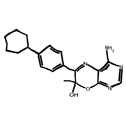 CC1(O)Oc2ncnc(N)c2N=C1c1ccc(C2CCCCC2)cc1